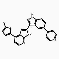 Cc1ccc(-c2ccnc3[nH]c(-c4n[nH]c5ccc(-c6ccncc6)cc45)cc23)s1